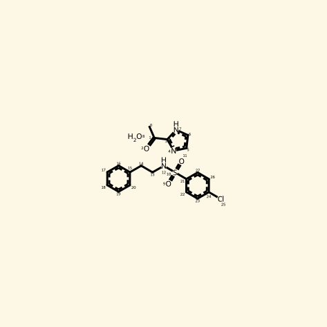 CC(=O)c1ncc[nH]1.O.O=S(=O)(NCCc1ccccc1)c1ccc(Cl)cc1